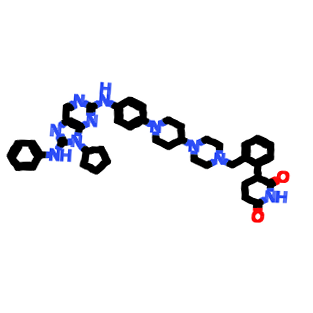 O=C1CCC(c2ccccc2CN2CCN(C3CCN(c4ccc(Nc5ncc6nc(Nc7ccccc7)n(C7CCCC7)c6n5)cc4)CC3)CC2)C(=O)N1